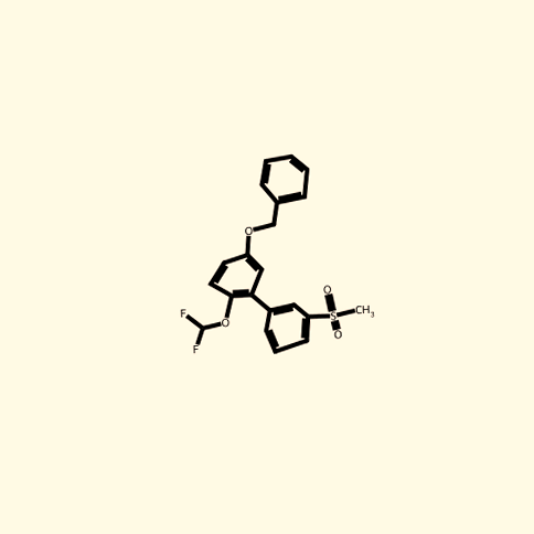 CS(=O)(=O)c1cccc(-c2cc(OCc3ccccc3)ccc2OC(F)F)c1